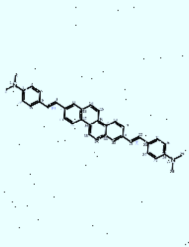 CN(C)c1ccc(/C=C/c2ccc3c(ccc4c5ccc(/C=C/c6ccc(N(C)C)cc6)cc5ccc34)c2)cc1